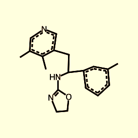 Cc1cccc(C(Cc2cncc(C)c2C)NC2=NCCO2)c1